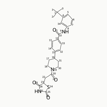 CC(C)(C)c1cccc(NC(=O)c2ccc(C3CCN(C(=O)CC4SC(=O)NC4=O)CC3)cc2)c1